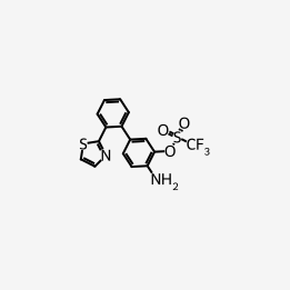 Nc1ccc(-c2ccccc2-c2nccs2)cc1OS(=O)(=O)C(F)(F)F